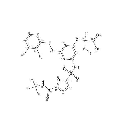 CC[C@@](C)(Oc1cc(NS(=O)(=O)c2ccc(C(=O)NC(C)(C)C)o2)nc(SCc2cccc(F)c2F)n1)C(=O)O